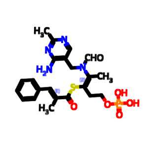 C/C(=C(\CCOP(=O)(O)O)SC(=O)/C(C)=C/c1ccccc1)N(C=O)Cc1cnc(C)nc1N